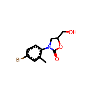 Cc1cc(Br)ccc1N1CC(CO)OC1=O